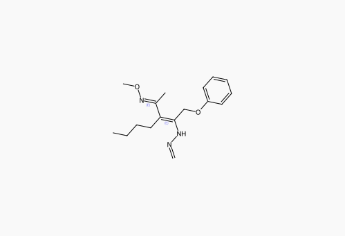 C=NN/C(COc1ccccc1)=C(CCCC)/C(C)=N/OC